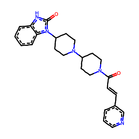 O=C(C=Cc1cccnc1)N1CCC(N2CCC(n3c(=O)[nH]c4ccccc43)CC2)CC1